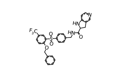 O=C(NCc1ccc(S(=O)(=O)c2cc(C(F)(F)F)ccc2OCc2ccccc2)cc1)C1Cc2cnccc2N1